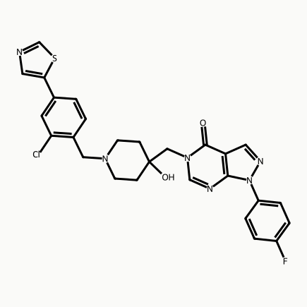 O=c1c2cnn(-c3ccc(F)cc3)c2ncn1CC1(O)CCN(Cc2ccc(-c3cncs3)cc2Cl)CC1